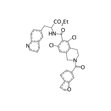 CCOC(=O)C(Cc1ccc2ncccc2c1)NC(=O)c1c(Cl)cc2c(c1Cl)CCN(C(=O)c1ccc3ccoc3c1)C2